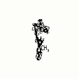 COC(=O)C1=C(CN2CCOC[C@H]2C(=O)NCCCCCCOc2cc(N3CCc4nc(-c5ncccn5)ncc4[C@H]3C)cc(F)c2F)NC(c2nccs2)=N[C@H]1c1ccc(F)cc1Cl